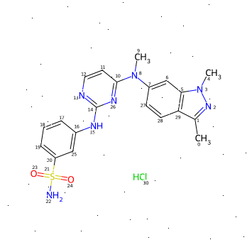 Cc1nn(C)c2cc(N(C)c3ccnc(Nc4cccc(S(N)(=O)=O)c4)n3)ccc12.Cl